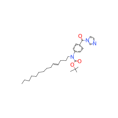 CCCCCCCCCC=CCCCN(C(=O)OC(C)(C)C)c1ccc(C(=O)n2ccnc2)cc1